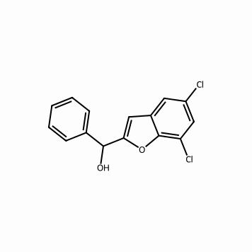 OC(c1ccccc1)c1cc2cc(Cl)cc(Cl)c2o1